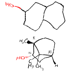 CC1(C)[C@@H]2CC[C@@]1(C)[C@@H](O)C2.OC1CCC2CCCCC2C1